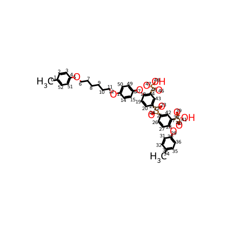 Cc1ccc(OCCCCCCOc2ccc(Oc3ccc(S(=O)(=O)c4ccc(Oc5ccc(C)cc5)c(S(=O)(=O)O)c4)cc3S(=O)(=O)O)cc2)cc1